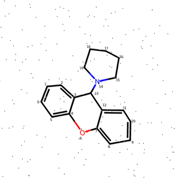 c1ccc2c(c1)Oc1ccccc1C2N1CCCCC1